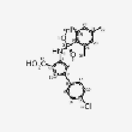 CCCOP(=O)(Nc1cc(-c2ccc(Cl)cc2)sc1C(=O)O)c1ccc(C)cc1C